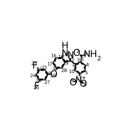 NC(=O)c1ccc([N+](=O)[O-])cc1-c1n[nH]c2ccc(Oc3cc(F)cc(F)c3)cc12